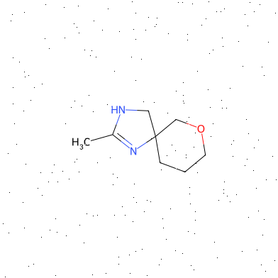 CC1=NC2(CCCOC2)CN1